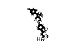 Cc1ccc(-c2onc(CSc3ccc4c(CC(=O)O)coc4c3)c2C)cc1